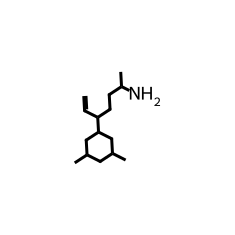 C=CC(CCC(C)N)C1CC(C)CC(C)C1